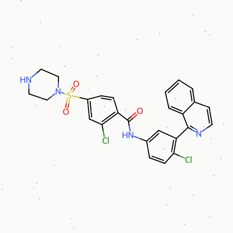 O=C(Nc1ccc(Cl)c(-c2nccc3ccccc23)c1)c1ccc(S(=O)(=O)N2CCNCC2)cc1Cl